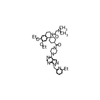 CCOc1cc2c(cc1OCC)[C@]1(CC[C@H](C(=O)N3CCN(c4ncnc5c4cnn5Cc4cccc(CC)n4)CC3)CC1)N(C(=O)CN(C)C)CC2